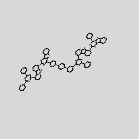 c1ccc(-c2nc(-c3ccccc3)nc(-c3cccc4sc5c(-c6nc(-c7ccc(-c8ccc(-c9cccc(-c%10nc(-c%11ccccc%11)nc(-c%11cccc%12sc%13c(-c%14nc(-c%15ccccc%15)c%15sc%16ccccc%16c%15n%14)cccc%13c%11%12)n%10)c9)cc8)cc7)c7sc8ccccc8c7n6)cccc5c34)n2)cc1